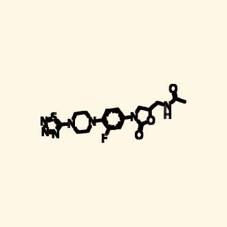 CC(=O)NCC1CN(c2ccc(N3CCN(c4nnns4)CC3)c(F)c2)C(=O)O1